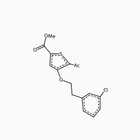 COC(=O)c1cc(OCCc2cccc(Cl)c2)c(C(C)=O)s1